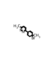 Cc1ccc(C2=CCC(C)(Br)C=C2)nn1